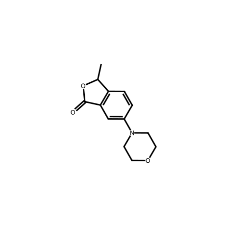 CC1OC(=O)c2cc(N3CCOCC3)ccc21